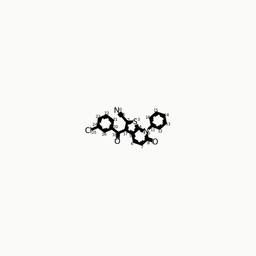 N#Cc1sc2c(ccc(=O)n2-c2ccccc2)c1C(=O)c1cccc(Cl)c1